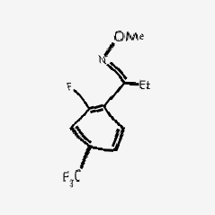 CCC(=NOC)c1ccc(C(F)(F)F)cc1F